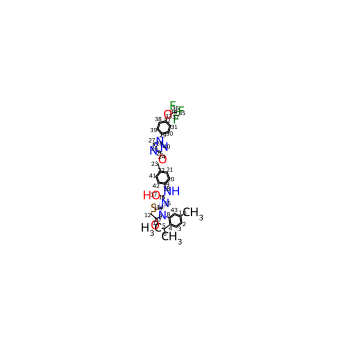 Cc1ccc(C(C)C)c(N2C(=O)CS/C2=N\C(O)Nc2ccc(COc3ncn(-c4ccc(OC(F)(F)F)cc4)n3)cc2)c1